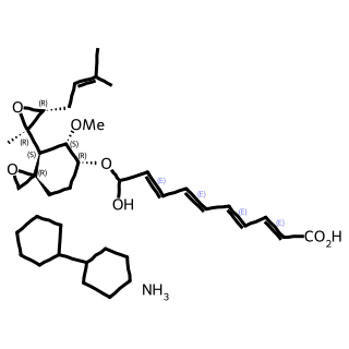 C1CCC(C2CCCCC2)CC1.CO[C@@H]1[C@H](OC(O)/C=C/C=C/C=C/C=C/C(=O)O)CC[C@]2(CO2)[C@H]1[C@@]1(C)O[C@@H]1CC=C(C)C.N